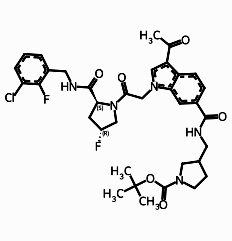 CC(=O)c1cn(CC(=O)N2C[C@H](F)C[C@H]2C(=O)NCc2cccc(Cl)c2F)c2cc(C(=O)NCC3CCN(C(=O)OC(C)(C)C)C3)ccc12